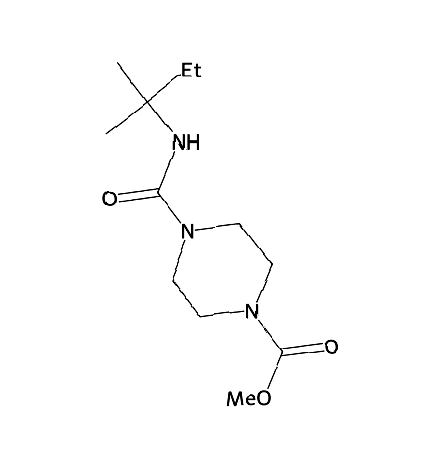 CCC(C)(C)NC(=O)N1CCN(C(=O)OC)CC1